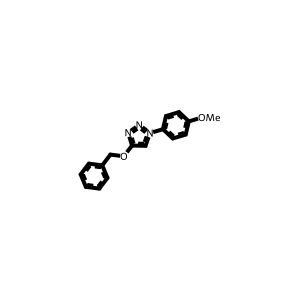 COc1ccc(-n2cc(OCc3ccccc3)nn2)cc1